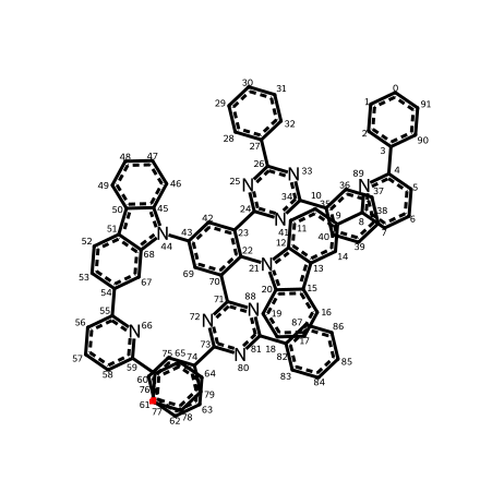 c1ccc(-c2cccc(-c3ccc4c(c3)c3ccccc3n4-c3c(-c4nc(-c5ccccc5)nc(-c5ccccc5)n4)cc(-n4c5ccccc5c5ccc(-c6cccc(-c7ccccc7)n6)cc54)cc3-c3nc(-c4ccccc4)nc(-c4ccccc4)n3)n2)cc1